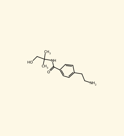 CC(C)(CO)NC(=O)c1ccc(CCN)cc1